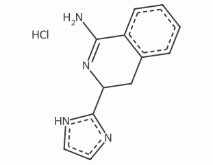 Cl.NC1=NC(c2ncc[nH]2)Cc2ccccc21